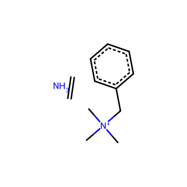 C=C.C[N+](C)(C)Cc1ccccc1.N